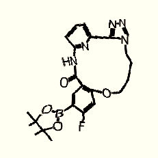 CC1(C)OB(c2cc3c(cc2F)OCCCCn2cnnc2-c2cccc(n2)NC3=O)OC1(C)C